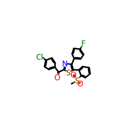 CS(=O)(=O)c1ccccc1-c1sc(C(=O)c2ccc(Cl)cc2)nc1-c1ccc(F)cc1